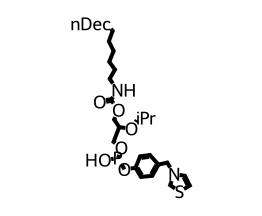 CCCCCCCCCCCCCCCCNC(=O)OCC(COP(O)Oc1ccc(CN2C=CSC2)cc1)OC(C)C